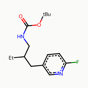 CCC(CNC(=O)OC(C)(C)C)Cc1ccc(F)nc1